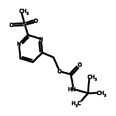 CC(C)(C)NC(=O)OCc1ccnc(S(C)(=O)=O)n1